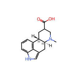 CN1CC(C(=O)O)C[C@H]2c3cccc4[nH]cc(c34)C[C@@H]21